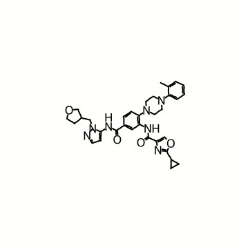 Cc1ccccc1N1CCN(c2ccc(C(=O)Nc3ccnn3CC3CCOC3)cc2NC(=O)c2coc(C3CC3)n2)CC1